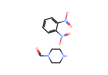 O=CN1CCNCC1.O=[N+]([O-])c1ccccc1[N+](=O)[O-]